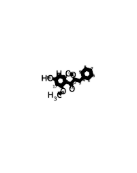 COC(=Cc1ccccc1)C(=O)c1ccc(O)cc1OC